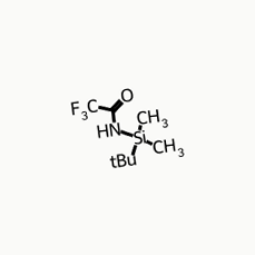 CC(C)(C)[Si](C)(C)NC(=O)C(F)(F)F